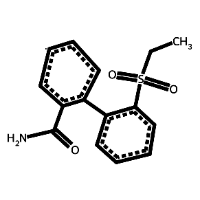 CCS(=O)(=O)c1ccccc1-c1cc[c]cc1C(N)=O